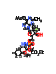 CCOC(=O)COP(=O)(N[C@H](Cc1ccccc1)C(=O)OC(C)C)OC[C@H]1O[C@@H](n2cnc3c(OC)nc(C)nc32)[C@@](C)(F)C1O